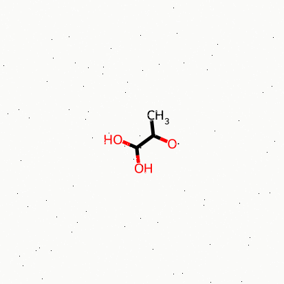 CC([O])[C](O)O